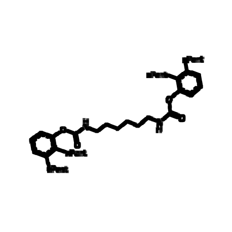 CCCCCc1cccc(OC(=O)NCCCCCCNC(=O)Oc2cccc(CCCCC)c2CCCCC)c1CCCCC